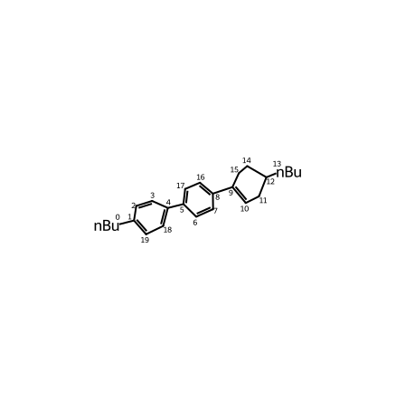 CCCCc1ccc(-c2ccc(C3=CCC(CCCC)CC3)cc2)cc1